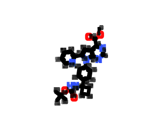 COC(=O)c1ncnc2c1cc(-c1ccccn1)n2-c1ccc(C2(NC(=O)OC(C)(C)C)CCC2)cc1